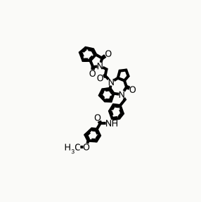 COc1ccc(C(=O)Nc2ccc(CN3C(=O)C4CCCC4N(C(=O)CN4C(=O)c5ccccc5C4=O)c4ccccc43)cc2)cc1